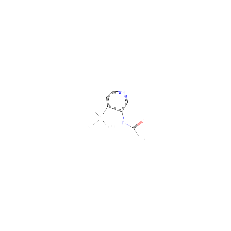 CCC[CH2][Sn]([CH2]CCC)([CH2]CCC)[c]1ccncc1NC(=O)C(C)(C)C